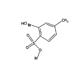 Cc1ccc(S(=O)(=O)OBr)c(Br)c1.Cl